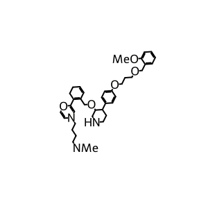 CNCCCCN1C=COC(C2=C(COC3CNCCC3c3ccc(OCCCOCc4ccccc4OC)cc3)C=CCC2)=C1